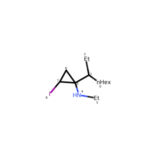 CCCCCCC(CC)C1(NCC)CC1I